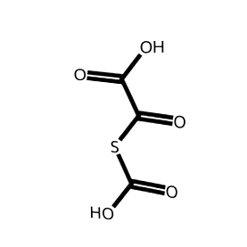 O=C(O)SC(=O)C(=O)O